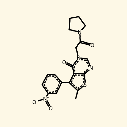 Cc1sc2ncn(CC(=O)N3CCCC3)c(=O)c2c1-c1cccc([N+](=O)[O-])c1